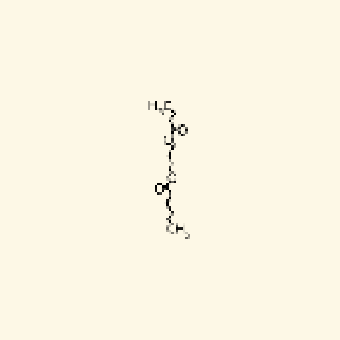 CCCCCC(=O)OCCCCOC(=O)CCC